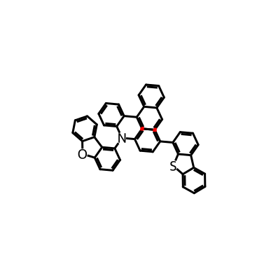 c1ccc(N(c2ccc(-c3cccc4c3sc3ccccc34)cc2)c2cccc3oc4ccccc4c23)c(-c2cccc3ccccc23)c1